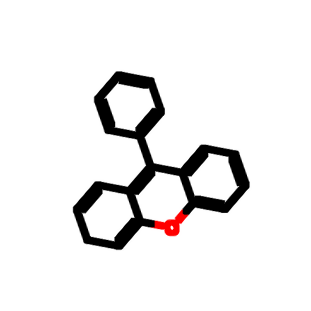 C1=CC2=C(c3ccccc3)c3ccccc3OC2=CC1